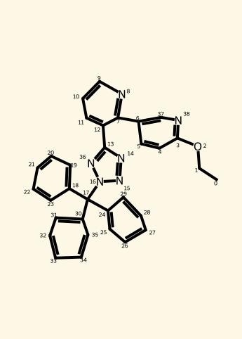 CCOc1ccc(-c2ncccc2-c2nnn(C(c3ccccc3)(c3ccccc3)c3ccccc3)n2)cn1